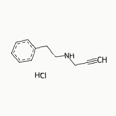 C#CCNCCc1ccccc1.Cl